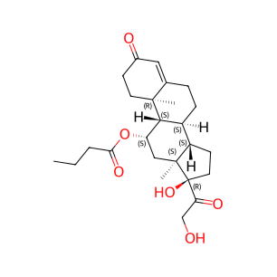 CCCC(=O)O[C@H]1C[C@@]2(C)[C@@H](CC[C@]2(O)C(=O)CO)[C@@H]2CCC3=CC(=O)CC[C@]3(C)[C@H]21